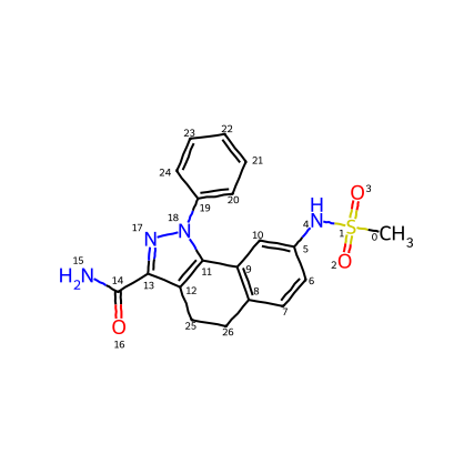 CS(=O)(=O)Nc1ccc2c(c1)-c1c(c(C(N)=O)nn1-c1ccccc1)CC2